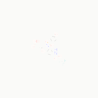 CC(C)(OC(=O)Nc1ccc2c(c1)N(S(=O)(=O)c1ccc3c(c1)CCO3)C[C@H](CCC(=O)O)O2)C(F)(F)F